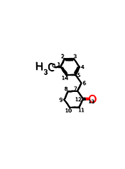 Cc1cccc(CC2CCCCC2=O)c1